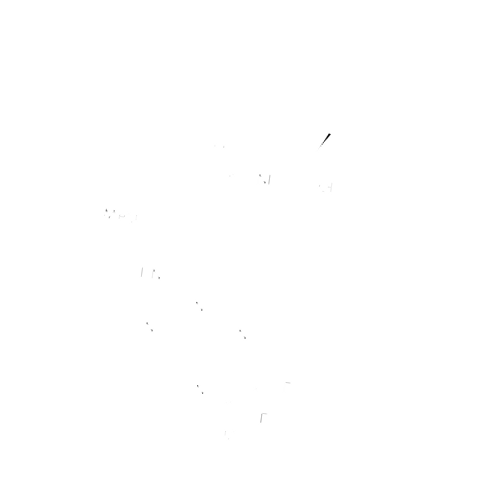 COc1cc(C(=O)NC[C@@H](C)O)ccc1Nc1ncc2c(n1)N(C1CCCCC1)CC(F)(F)C(=O)N2C